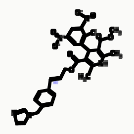 COC(=O)C1=C(C)NC(C)=C(C(=O)OC/C=C/c2ccc(Cn3ccnc3)cc2)C1c1cc([N+](=O)[O-])cc([N+](=O)[O-])c1Cl